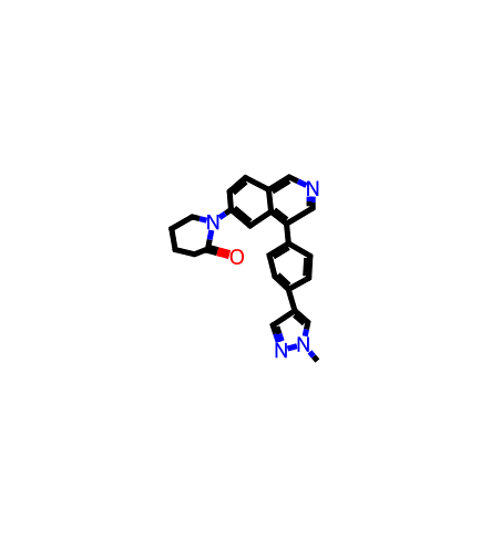 Cn1cc(-c2ccc(-c3cncc4ccc(N5CCCCC5=O)cc34)cc2)cn1